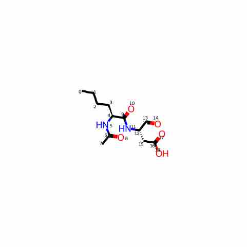 CCCC[C@H](NC(C)=O)C(=O)N[C@H]([C]=O)CC(=O)O